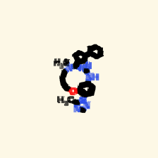 Cc1ncnn1-c1ccc2cc1OCCCCN(C)c1nc(nc3c1CCC3c1ccccc1)N2